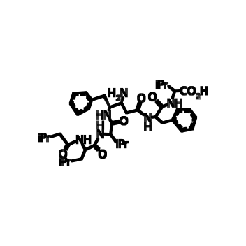 CC(C)CC(=O)NC(CC(C)C)C(=O)NC(C(=O)N[C@@H](Cc1ccccc1)[C@@H](N)CC(=O)NC(Cc1ccccc1)C(=O)NC(C(=O)O)C(C)C)C(C)C